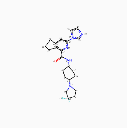 O=C(N[C@H]1CC[C@H](N2CCC(F)(F)C2)CC1)c1nc(-n2ccnc2)cc2c1CCC2